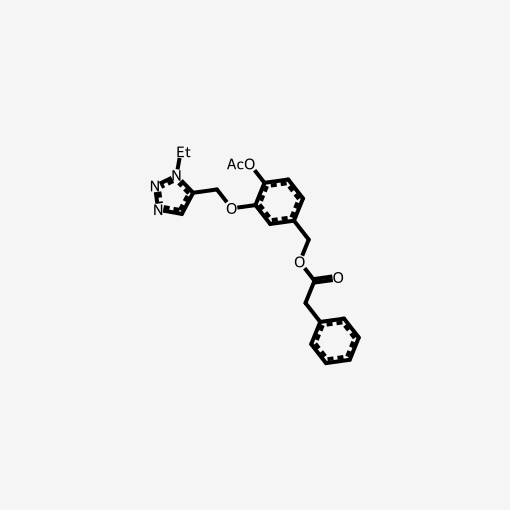 CCn1nncc1COc1cc(COC(=O)Cc2ccccc2)ccc1OC(C)=O